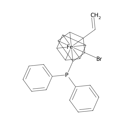 C=C[C]12[CH]3[CH]4[C]5(P(c6ccccc6)c6ccccc6)[C]1(Br)[Fe]34251678[CH]2[CH]1[CH]6[CH]7[CH]28